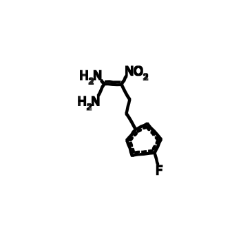 NC(N)=C(CCc1ccc(F)cc1)[N+](=O)[O-]